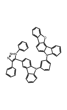 c1ccc(-c2nnn(-c3ccccc3)c2-c2ccc3c(c2)c2ccccc2n3-c2cccc(-n3c4ccccc4c4c5oc6ccccc6c5ccc43)c2)cc1